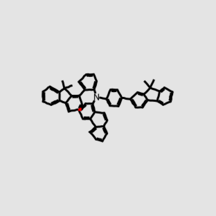 CC1(C)c2ccccc2-c2ccc(-c3ccc(N(c4ccccc4-c4cccc5c4C(C)(C)c4ccccc4-5)c4cccc5c4ccc4ccccc45)cc3)cc21